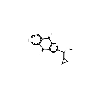 CCOC(c1cc2c(s1)C(=O)c1ccncc1C2=O)C1CC1